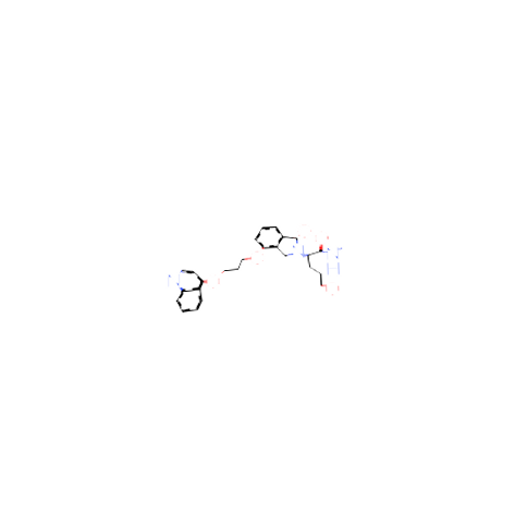 CNC(=O)C(CCC=O)N1Cc2c(OCCCOc3ccnc4ccccc34)cccc2C1=O